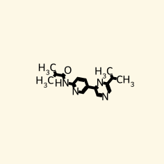 CC(C)C(=O)Nc1ccc(-c2cncc(C(C)C)n2)cn1